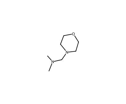 CN(C)CN1CCOCC1